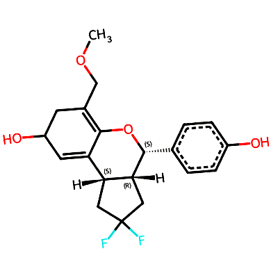 COCC1=C2O[C@H](c3ccc(O)cc3)[C@@H]3CC(F)(F)C[C@@H]3C2=CC(O)C1